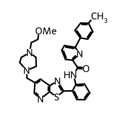 COCCN1CCN(Cc2cnc3sc(-c4ccccc4NC(=O)c4cccc(-c5ccc(C)cc5)n4)nc3c2)CC1